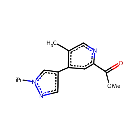 COC(=O)c1cc(-c2cnn(C(C)C)c2)c(C)cn1